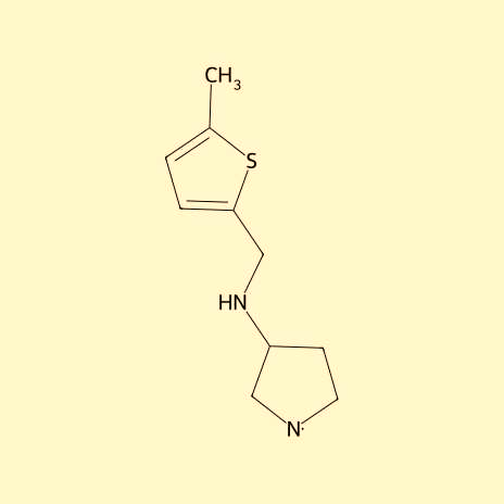 Cc1ccc(CNC2CC[N]C2)s1